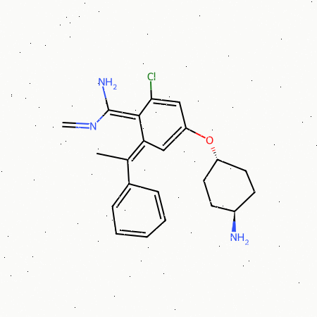 C=N/C(N)=c1/c(Cl)cc(O[C@H]2CC[C@H](N)CC2)c/c1=C(/C)c1ccccc1